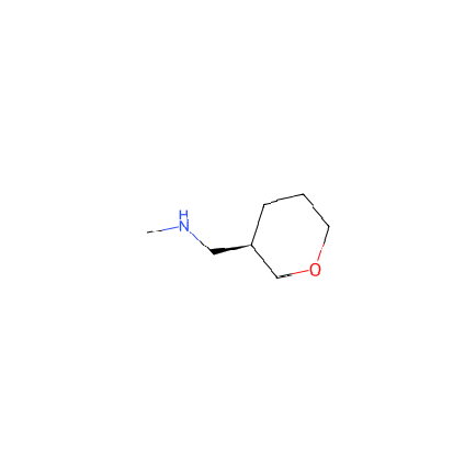 CNC[C@H]1CCCOC1